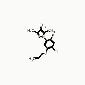 C=CCOc1cc(-n2nc(C)c(C)c2C)c(F)cc1Cl